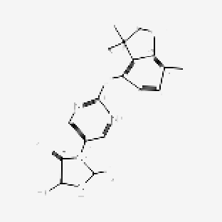 CCC1NC(O)N(c2cnc(Oc3ccc(C)c4c3C(C)(C)CO4)nc2)C1=O